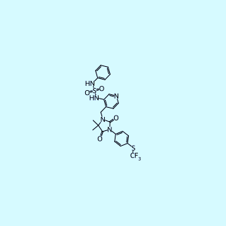 CC1(C)C(=O)N(c2ccc(SC(F)(F)F)cc2)C(=O)N1Cc1ccncc1NS(=O)(=O)Nc1ccccc1